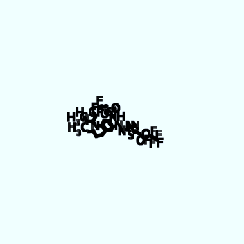 CCC(CC)N1c2cc(NS(=O)(=O)CC(F)(F)F)c(N=Nc3nnc(C(=O)OC(F)(F)C(F)(F)F)s3)cc2CCC1CC